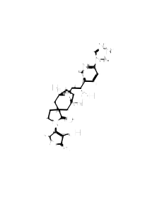 CC1=C(N2CCC3(C[C@H]4CC[C@H](C3)N4C[C@H](O)c3ccc(-n4cnnn4)nn3)C2=O)COC1=O